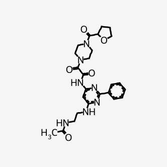 CC(=O)NCCNc1cc(NC(=O)C(=O)N2CCN(C(=O)C3CCCO3)CC2)nc(-c2ccccc2)n1